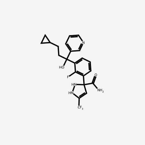 NC(=O)C1(c2cccc(C(O)(CCC3CC3)c3cccnc3)c2F)C=C(C(F)(F)F)NN1